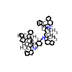 C=C(/C=C/C=C1/N(Cc2ccc(CN3/C(=C/C=C/C4=[N+](C)c5ccc6ccccc6c5C4(C)C(C)c4ccccc4)C(C)(C)c4c3ccc3ccccc43)cc2)c2ccc3ccccc3c2C1(C)C)C(C)(c1c(C)ccc2ccccc12)C(C)c1ccccc1